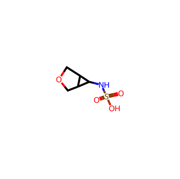 O=S(=O)(O)NC1C2COCC21